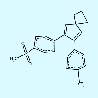 CS(=O)(=O)c1ccc(C2=CC3(C=C2c2ccc(C(F)(F)F)cc2)CCC3)cc1